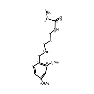 COc1ccc(CNCCCNC(=O)OC(C)(C)C)c(OC)c1